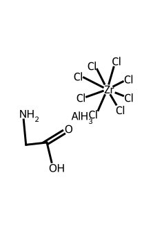 NCC(=O)O.[AlH3].[Cl][Zr]([Cl])([Cl])([Cl])([Cl])([Cl])([Cl])[Cl]